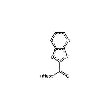 CCCCCCCC(=O)c1nc2ncccc2o1